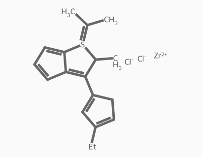 CCC1=CCC(C2=C3C=CC=C3S(=C(C)C)C2C)=C1.[Cl-].[Cl-].[Zr+2]